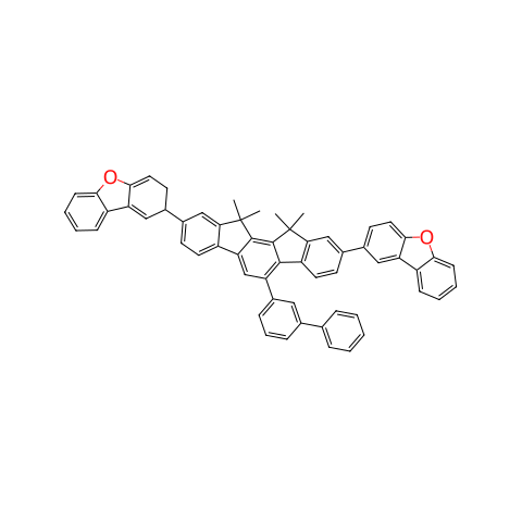 CC1(C)c2cc(C3C=c4c(oc5ccccc45)=CC3)ccc2-c2cc(-c3cccc(-c4ccccc4)c3)c3c(c21)C(C)(C)c1cc(-c2ccc4oc5ccccc5c4c2)ccc1-3